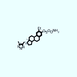 CCc1cc2c(cc1OSOON)CCC1C2CC[C@@]2(C)C1CC[C@@H]2Cc1nnnn1C